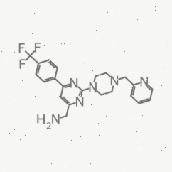 NCc1cc(-c2ccc(C(F)(F)F)cc2)nc(N2CCN(Cc3ccccn3)CC2)n1